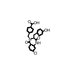 O=C(O)c1ccc(CN2C(=O)c3ccc(Cl)cc3NC(=O)C2Cc2ccc(O)cc2)cc1